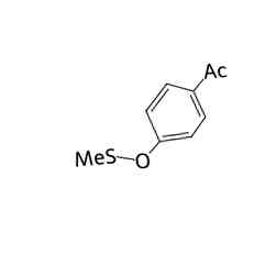 CSOc1ccc(C(C)=O)cc1